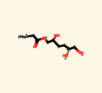 CCCCCCCCC(=O)OC[C@@H](O)CC[C@@H](O)CO